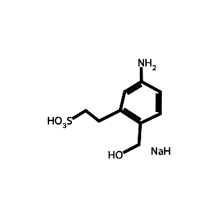 Nc1ccc(CO)c(CCS(=O)(=O)O)c1.[NaH]